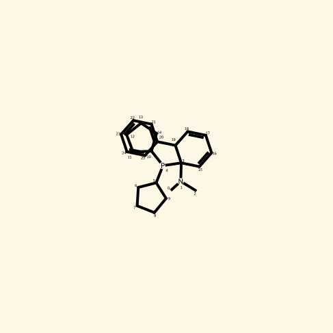 CN(C)C1(P(C2CCCC2)C2CCCC2)C=CC=CC1c1ccccc1